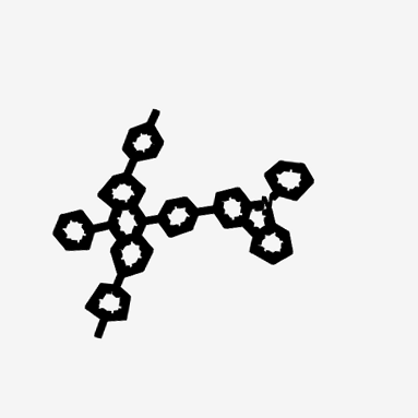 Cc1ccc(-c2ccc3c(-c4ccc(-c5ccc6c(c5)c5ccccc5n6-c5ccccc5)cc4)c4cc(-c5ccc(C)cc5)ccc4c(-c4ccccc4)c3c2)cc1